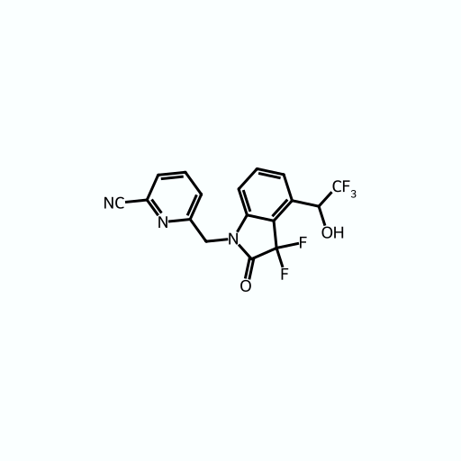 N#Cc1cccc(CN2C(=O)C(F)(F)c3c(C(O)C(F)(F)F)cccc32)n1